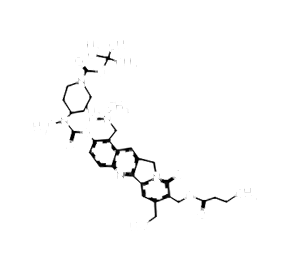 CCCC(=O)OCc1c(CO)cc2n(c1=O)Cc1cc3c(CN(C)C)c(OC(=O)N(C)C4CCN(C(=O)OC(C)(C)C)CC4)ccc3nc1-2